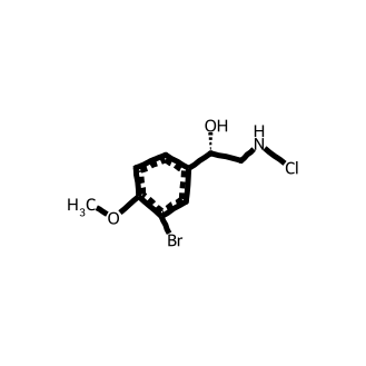 COc1ccc([C@H](O)CNCl)cc1Br